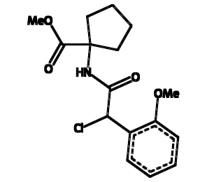 COC(=O)C1(NC(=O)C(Cl)c2ccccc2OC)CCCC1